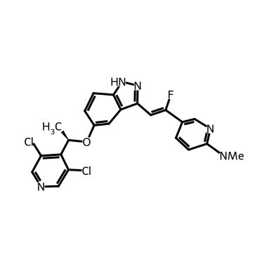 CNc1ccc(/C(F)=C/c2n[nH]c3ccc(O[C@H](C)c4c(Cl)cncc4Cl)cc23)cn1